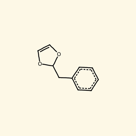 C1=COC(Cc2ccccc2)O1